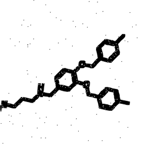 Cc1ccc(COc2ccc(CNCCCN)cc2OCc2ccc(C)cc2)cc1